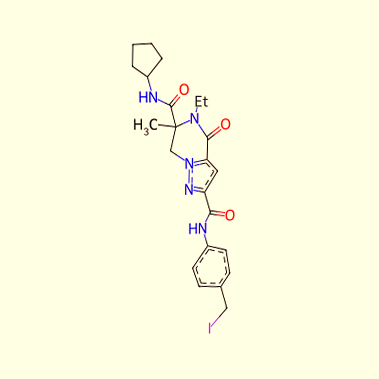 CCN1C(=O)c2cc(C(=O)Nc3ccc(CI)cc3)nn2CC1(C)C(=O)NC1CCCC1